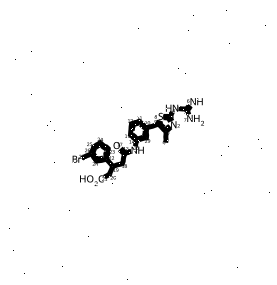 Cc1nc(NC(=N)N)sc1-c1cccc(NC(=O)CC(CC(=O)O)c2cccc(Br)c2)c1